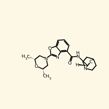 C[C@@H]1CN(c2nc3c(C(=O)N[C@@H]4CC5CCN4CC5)cccc3o2)C[C@H](C)O1